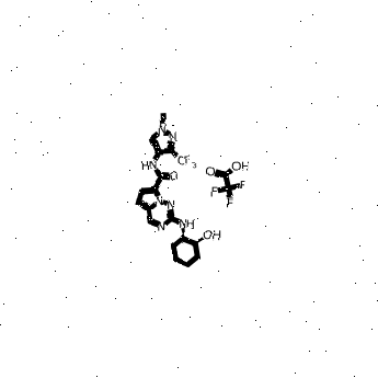 Cn1cc(NC(=O)c2ccc3cnc(N[C@@H]4CCCC[C@@H]4O)nn23)c(C(F)(F)F)n1.O=C(O)C(F)(F)F